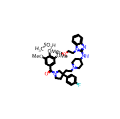 CCOCCn1c(NC2CCN(CCC3(c4ccc(F)cc4)CCN(C(=O)c4cc(OC)c(OC)c(OC)c4)C3)CC2)nc2ccccc21.CS(=O)(=O)O